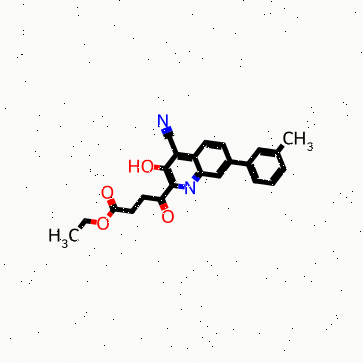 CCOC(=O)CCC(=O)c1nc2cc(-c3cccc(C)c3)ccc2c(C#N)c1O